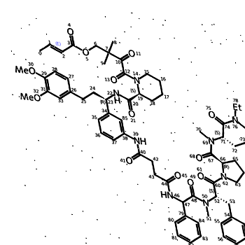 C/C=C/C(=O)OCC(C)(C)C(=O)C(=O)N1CCCC[C@H]1C(=O)N[C@H](CCc1ccc(OC)c(OC)c1)c1cccc(NC(=O)CCC(=O)NC(C(=O)N(C)[C@@H](Cc2ccccc2)C(=O)N2CCC[C@@H]2C(=O)N(C)[C@@H](CC(C)C)C(=O)N(C)CC)c2ccccc2)c1